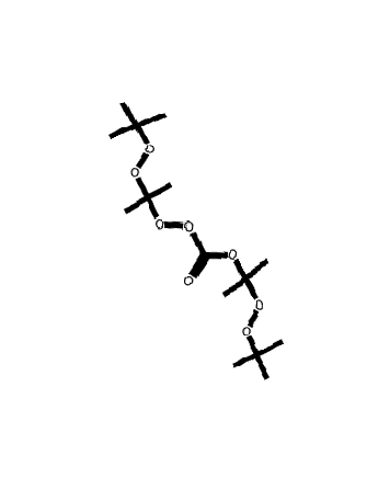 CC(C)(C)OOC(C)(C)OOC(=O)OC(C)(C)OOC(C)(C)C